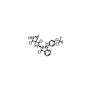 CC1(C(=O)NNC(=O)c2cccnc2Nc2ccc(OC(F)(F)Cl)cc2)C(=O)NC2CC21